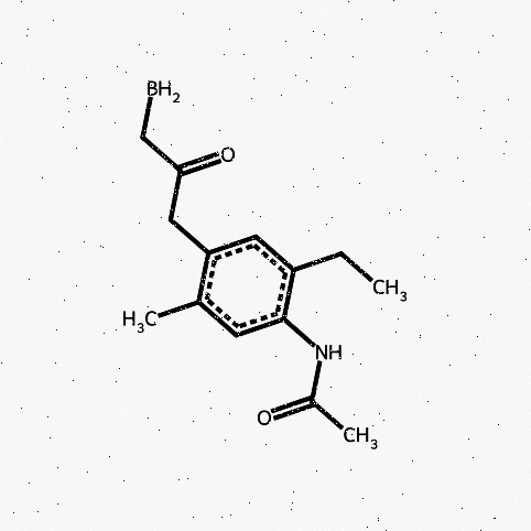 BCC(=O)Cc1cc(CC)c(NC(C)=O)cc1C